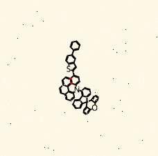 c1ccc(-c2ccc3sc(-c4ccc(N(c5cccc6c5-c5ccccc5C65c6ccccc6Oc6ccccc65)c5cccc6ccc7ccccc7c56)cc4)cc3c2)cc1